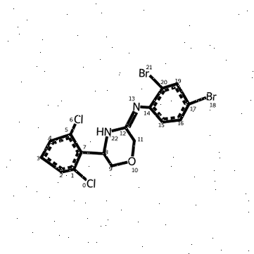 Clc1cccc(Cl)c1C1COCC(=Nc2ccc(Br)cc2Br)N1